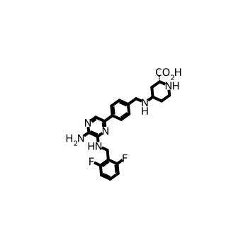 Nc1ncc(-c2ccc(CNC3CCN[C@@H](C(=O)O)C3)cc2)nc1NCc1c(F)cccc1F